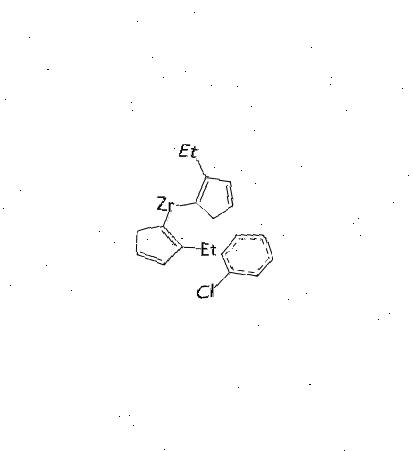 CCC1=[C]([Zr][C]2=C(CC)C=CC2)CC=C1.Clc1ccccc1